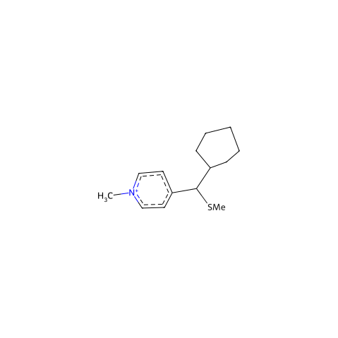 CSC(c1cc[n+](C)cc1)C1CCCCC1